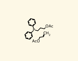 C=CCOC(C)=O.CC(=O)OCCCP(c1ccccc1)c1ccccc1